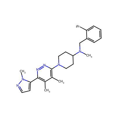 Cc1c(-c2ccnn2C)nnc(N2CCC(N(C)Cc3ccccc3C(C)C)CC2)c1C